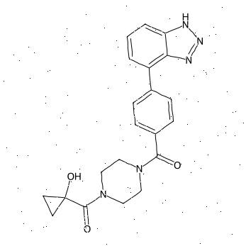 O=C(c1ccc(-c2cccc3[nH]nnc23)cc1)N1CCN(C(=O)C2(O)CC2)CC1